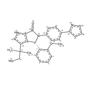 COc1ccccc1[C@@H]1c2c(C(C)(C)CO)n[nH]c2C(=O)N1c1ccc(-c2ccon2)cc1